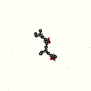 c1ccc(-c2cc(-c3cccc4ccccc34)nc(-c3ccc(-c4ccc5c(c4)Oc4cc(-c6ccc(-c7cc(-c8ccc9ccccc9c8)nc(-c8ccc(-c9ccc%10c(c9)Oc9ccccc9C%109c%10ccccc%10-c%10ccccc%109)cc8)n7)cc6)ccc4C54c5ccccc5-c5ccccc54)cc3)n2)cc1